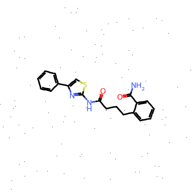 NC(=O)c1ccccc1CC[CH]C(=O)Nc1nc(-c2ccccc2)cs1